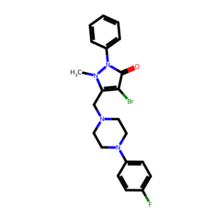 Cn1c(CN2CCN(c3ccc(F)cc3)CC2)c(Br)c(=O)n1-c1ccccc1